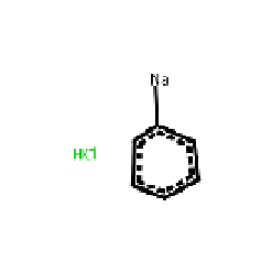 Cl.[Na][c]1ccccc1